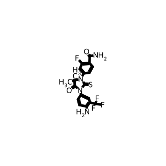 CC1(C)C(=O)N(c2ccc(N)c(C(F)(F)F)c2)C(=S)N1c1ccc(C(N)=O)c(F)c1